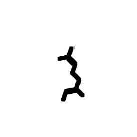 [CH2]C(C)=CCCC(C)=CC